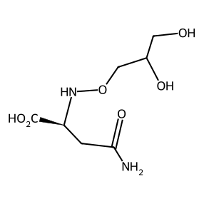 NC(=O)C[C@H](NOCC(O)CO)C(=O)O